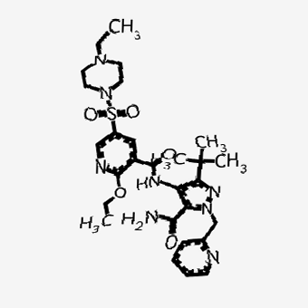 CCOc1ncc(S(=O)(=O)N2CCN(CC)CC2)cc1C(=O)Nc1c(C(C)(C)C)nn(Cc2ccccn2)c1C(N)=O